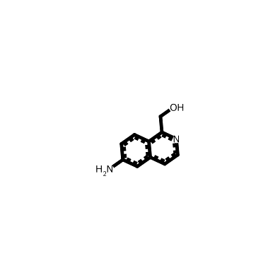 Nc1ccc2c(CO)nccc2c1